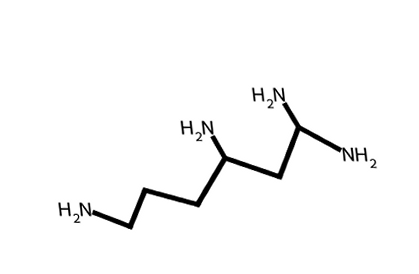 NCCCC(N)CC(N)N